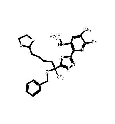 O=C(O)Nc1cc(C(F)(F)F)c(Br)nc1-c1nnc([C@@](CCCCC2OCCO2)(OCc2ccccc2)C(F)(F)F)o1